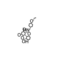 C=CCOc1ccc(CNC(=O)c2c(OC)cc(OC)cc2-c2ccccc2C(=O)O)cc1